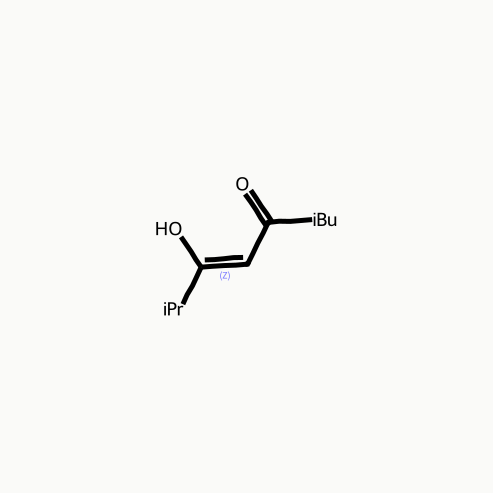 CCC(C)C(=O)/C=C(\O)C(C)C